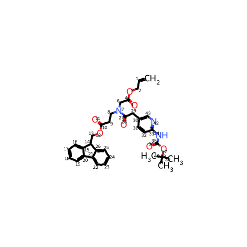 C=CCOC(=O)CN(CCC(=O)OCC1c2ccccc2-c2ccccc21)C(=O)Cc1ccc(NC(=O)OC(C)(C)C)nc1